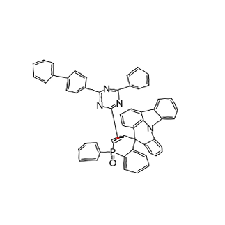 O=P1(c2ccccc2)c2ccccc2C2(c3ccccc3-n3c4ccccc4c4cccc2c43)c2cc(-c3nc(-c4ccccc4)nc(-c4ccc(-c5ccccc5)cc4)n3)ccc21